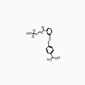 CCC(OCCC(O)(CC)CC)c1cccc(OCc2ccc(C(O)O)cc2)c1